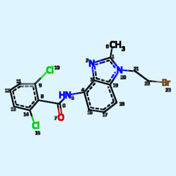 Cc1nc2c(NC(=O)c3c(Cl)cccc3Cl)cccc2n1CCBr